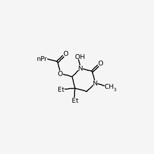 CCCC(=O)OC1N(O)C(=O)N(C)CC1(CC)CC